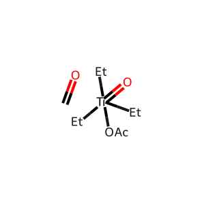 C=O.C[CH2][Ti](=[O])([CH2]C)([CH2]C)[O]C(C)=O